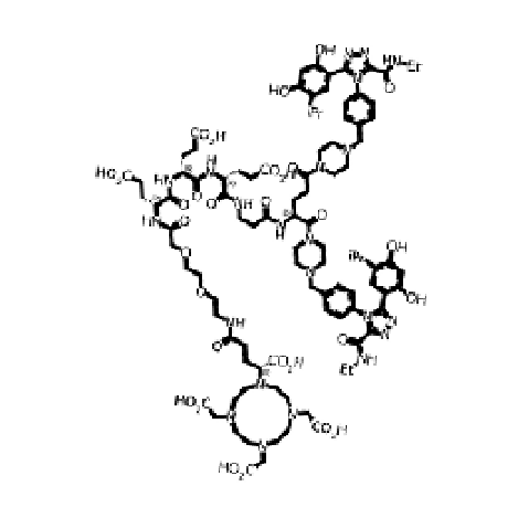 CCNC(=O)c1nnc(-c2cc(C(C)C)c(O)cc2O)n1-c1ccc(CN2CCN(C(=O)CC[C@H](NC(=O)CCNC(=O)[C@@H](CCC(=O)O)NC(=O)[C@@H](CCC(=O)O)NC(=O)[C@@H](CCC(=O)O)NC(=O)COCCOCCNC(=O)CC[C@H](C(=O)O)N3CCN(CC(=O)O)CCN(CC(=O)O)CCN(CC(=O)O)CC3)C(=O)N3CCN(Cc4ccc(-n5c(C(=O)NCC)nnc5-c5cc(C(C)C)c(O)cc5O)cc4)CC3)CC2)cc1